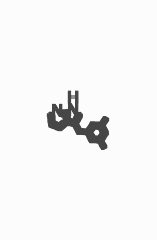 Cc1cc(C)cc(Cc2c[nH]c3ncccc23)c1